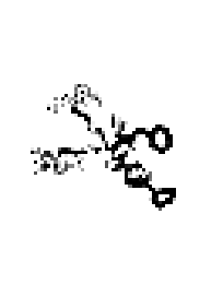 C[Si](C)(C)CCOCN(COCC[Si](C)(C)C)c1c(Br)c(CC2CCCCC2)nc2c(-c3ccc(-c4ccccc4)nc3)cnn12